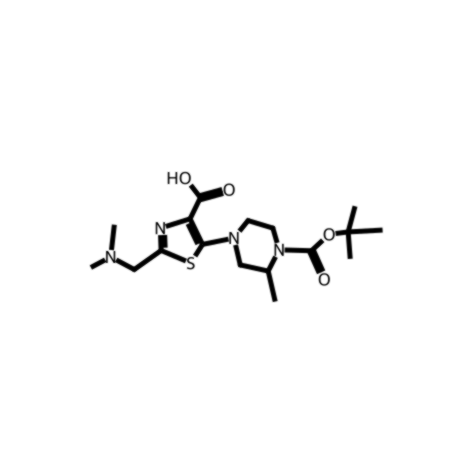 CC1CN(c2sc(CN(C)C)nc2C(=O)O)CCN1C(=O)OC(C)(C)C